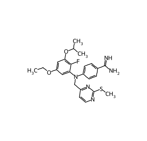 CCOc1cc(OC(C)C)c(F)c(N(Cc2ccnc(SC)n2)c2ccc(C(=N)N)cc2)c1